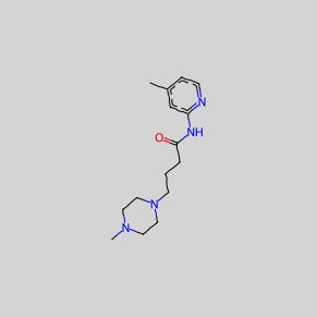 Cc1ccnc(NC(=O)CCCN2CCN(C)CC2)c1